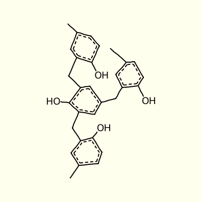 Cc1ccc(O)c(Cc2cc(Cc3cc(C)ccc3O)c(O)c(Cc3cc(C)ccc3O)c2)c1